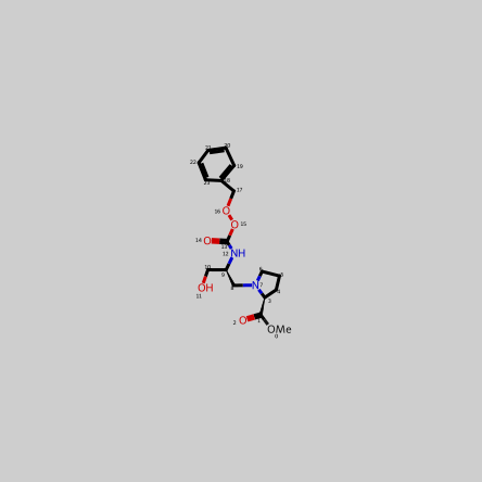 COC(=O)[C@@H]1CCCN1C[C@@H](CO)NC(=O)OOCc1ccccc1